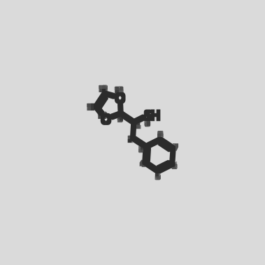 SC(Cc1ccccc1)C1OC=CO1